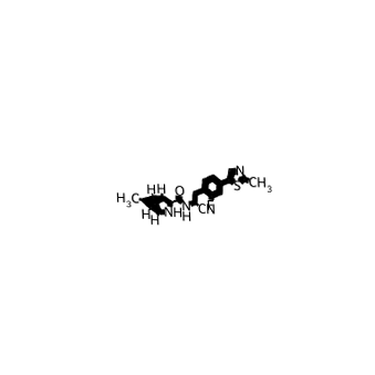 Cc1ncc(-c2ccc(C[C@@H](C#N)NC(=O)[C@H]3N[C@H]4C[C@@H]3[C@@H]3[C@H](C)[C@@H]34)c(F)c2)s1